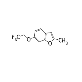 Cc1cc2ccc(OCC(F)(F)F)cc2o1